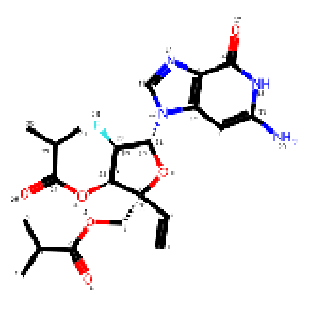 C=C[C@]1(COC(=O)C(C)C)O[C@@H](n2cnc3c(=O)[nH]c(N)cc32)[C@H](F)[C@@H]1OC(=O)C(C)C